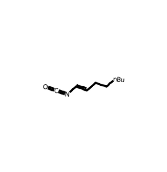 CCCCCCC=CN=C=O